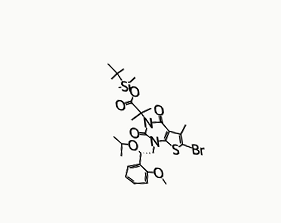 COc1ccccc1[C@@H](Cn1c(=O)n(C(C)(C)C(=O)O[Si](C)(C)C(C)(C)C)c(=O)c2c(C)c(Br)sc21)OC(C)C